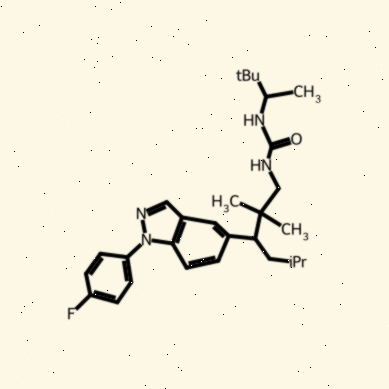 CC(C)CC(c1ccc2c(cnn2-c2ccc(F)cc2)c1)C(C)(C)CNC(=O)NC(C)C(C)(C)C